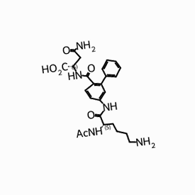 CC(=O)N[C@@H](CCCCN)C(=O)Nc1ccc(C(=O)N[C@@H](CC(N)=O)C(=O)O)c(-c2ccccc2)c1